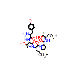 C[C@@H](O)[C@H](NC(=O)[C@@H]1CCCN1C(=O)[C@H](CCC(=O)O)NC(=O)[C@@H](NC(=O)[C@@H](N)Cc1ccc(O)cc1)[C@@H](C)O)C(=O)O